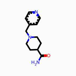 NC(=O)C1CCN(Cc2ccncc2)CC1